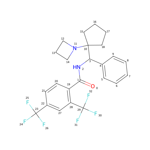 O=C(NC(c1ccccc1)C1(N2CCC2)CCCC1)c1ccc(C(F)(F)F)cc1C(F)(F)F